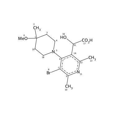 COC1(C)CCN(c2c(Br)c(C)nc(C)c2C(O)C(=O)O)CC1